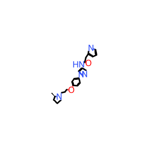 C[C@@H]1CCCN1CCCOc1ccc(-n2cc(NC(=O)Cc3cccnc3)cn2)cc1